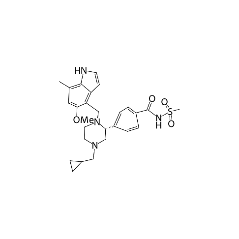 COc1cc(C)c2[nH]ccc2c1CN1CCN(CC2CC2)C[C@H]1c1ccc(C(=O)NS(C)(=O)=O)cc1